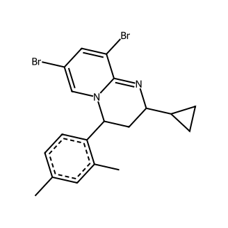 Cc1ccc(C2CC(C3CC3)N=C3C(Br)=CC(Br)=CN32)c(C)c1